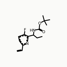 C=Cc1ccc(F)c(C(CC)NC(=O)OC(C)(C)C)n1